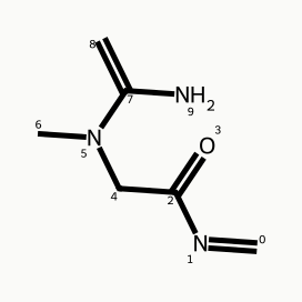 C=NC(=O)CN(C)C(=C)N